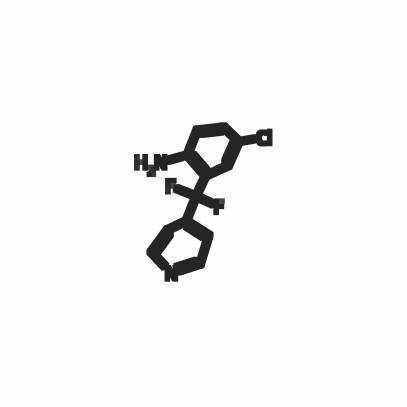 Nc1ccc(Cl)cc1C(F)(F)c1ccncc1